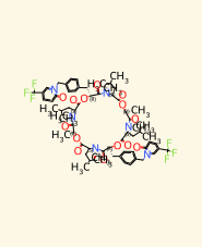 CC(C)C[C@H]1C(=O)O[C@H](Cc2ccc(Cn3cc(C(F)(F)F)ccc3=O)cc2)C(=O)N(C)[C@@H](CC(C)C)C(=O)O[C@H](C)C(=O)N(C)[C@@H](CC(C)C)C(=O)O[C@H](Cc2ccc(Cn3cc(C(F)(F)F)ccc3=O)cc2)C(=O)N(C)[C@@H](CC(C)C)C(=O)O[C@H](C)C(=O)N1C